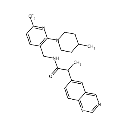 CC1CCN(c2nc(C(F)(F)F)ccc2CNC(=O)C(C)c2ccc3ncncc3c2)CC1